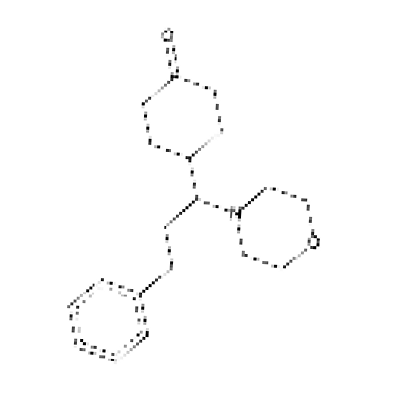 O=C1CCC(C(CCc2ccccc2)N2CCOCC2)CC1